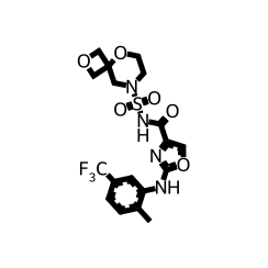 Cc1ccc(C(F)(F)F)cc1Nc1nc(C(=O)NS(=O)(=O)N2CCOC3(COC3)C2)co1